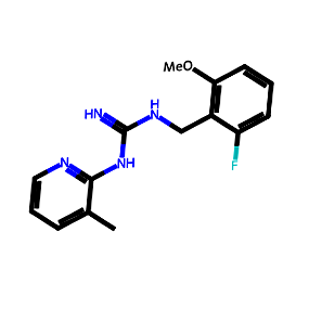 COc1cccc(F)c1CNC(=N)Nc1ncccc1C